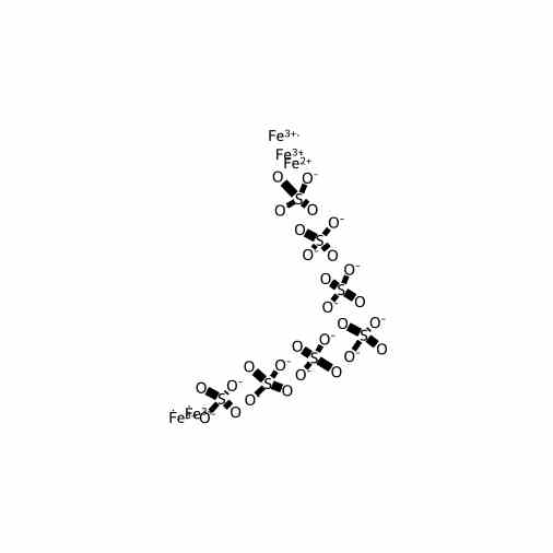 O=S(=O)([O-])[O-].O=S(=O)([O-])[O-].O=S(=O)([O-])[O-].O=S(=O)([O-])[O-].O=S(=O)([O-])[O-].O=S(=O)([O-])[O-].O=S(=O)([O-])[O-].[Fe+2].[Fe+3].[Fe+3].[Fe+3].[Fe+3]